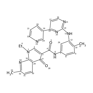 CCn1cc(C(=O)Nc2ccc(C)c(Nc3nccc(-c4cccnc4)n3)c2)c(=O)c2ccc(C)nc21